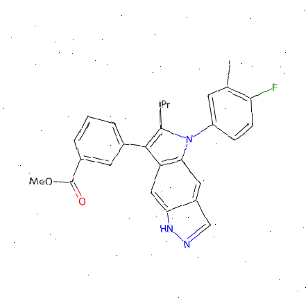 COC(=O)c1cccc(-c2c(C(C)C)n(-c3ccc(F)c(C)c3)c3cc4cn[nH]c4cc23)c1